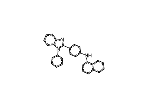 c1ccc(-n2c(-c3ccc(Nc4cccc5ccccc45)cc3)nc3ccccc32)cc1